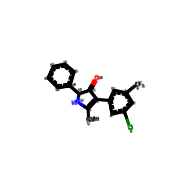 CNC1=C(c2cc(Cl)cc(C(F)(F)F)c2)C(=O)C(c2ccccc2)N1